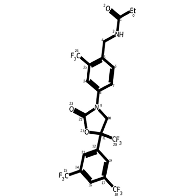 CCC(=O)NCc1ccc(N2CC(c3cc(C(F)(F)F)cc(C(F)(F)F)c3)(C(F)(F)F)OC2=O)cc1C(F)(F)F